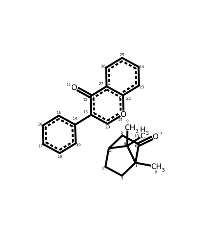 CC12CCC(CC1=O)C2(C)C.O=c1c(-c2ccccc2)coc2ccccc12